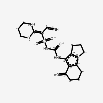 N=C/C(=C1\NCCCO1)S(=O)(=O)NC(=O)Nc1c2c(n3c1CCC3)CCCC2=O